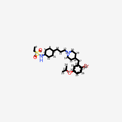 CCS(=O)(=O)NC1CCC(CCCN2CCC(Cc3cc(OC(C)C)ccc3Br)CC2)CC1